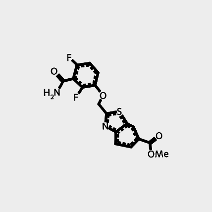 COC(=O)c1ccc2nc(COc3ccc(F)c(C(N)=O)c3F)sc2c1